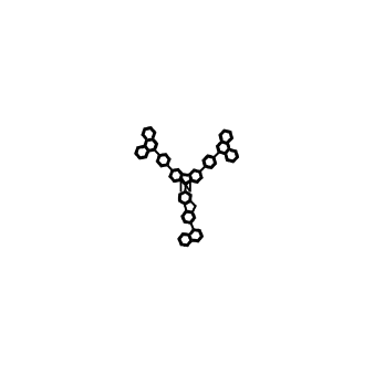 c1ccc2c(-c3ccc4c(c3)Cc3cc(-n5c6ccc(-c7ccc(-c8cc9ccccc9c9ccccc89)cc7)cc6c6cc(-c7ccc(-c8cc9ccccc9c9ccccc89)cc7)ccc65)ccc3-4)cccc2c1